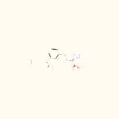 CC(C)c1cccc(CCC(N)C(=O)O)c1